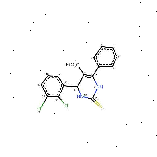 CCOC(=O)C1=C(c2ccccc2)NC(=S)NC1c1cccc(Cl)c1Cl